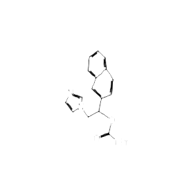 CCCC(=O)OC(Cn1ccnc1)c1ccc2ccccc2c1